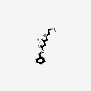 NCCNCC(N)CC(=O)OCc1ccccc1